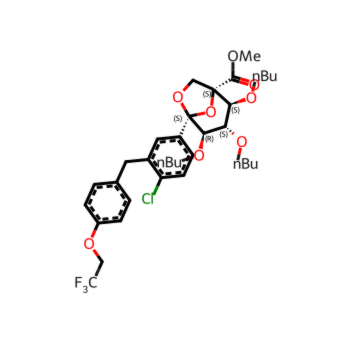 CCCCO[C@@H]1[C@@H](OCCCC)[C@@]2(c3ccc(Cl)c(Cc4ccc(OCC(F)(F)F)cc4)c3)OC[C@](C(=O)OC)(O2)[C@H]1OCCCC